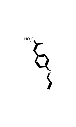 C=CCOc1ccc(C=C(C)C(=O)O)cc1